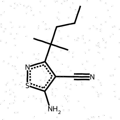 CCCC(C)(C)c1nsc(N)c1C#N